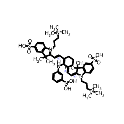 CC1(C)C(/C=C/C2=C(Nc3cccc(N(O)O)c3)C(=C/C=C3/N(CCC[N+](C)(C)C)c4ccc(S(=O)(=O)O)cc4C3(C)C)/CCC2)=[N+](CCC[N+](C)(C)C)c2ccc(S(=O)(=O)O)cc21